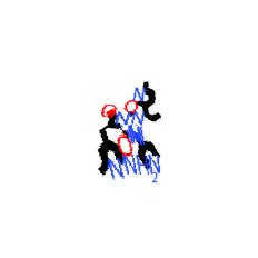 CCC(NC(=O)N1C(=O)[C@H](Cc2cc(C)nc(N)c2)[C@H]1C(=O)N(C)c1ccncc1)c1ccc(C)nc1